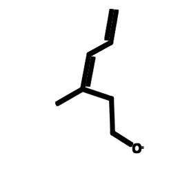 C=CC=C(C)CC[O]